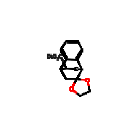 CCOC(=O)C1CC2c3ccccc3C1CC21OCCO1